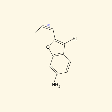 C/C=C\c1oc2cc(N)ccc2c1CC